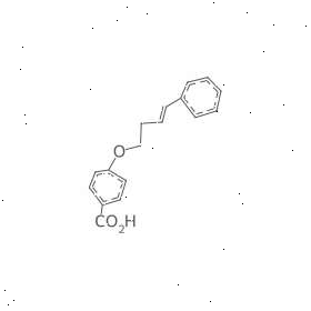 O=C(O)c1ccc(OCCC=Cc2ccccc2)cc1